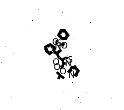 CC(C)(C)OC(=O)C1C(C(=O)c2cn(S(=O)(=O)c3ccccc3)c3ccccc23)CSN1c1cccnc1